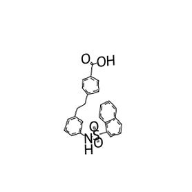 O=C(O)c1ccc(CCc2cccc(NS(=O)(=O)c3cccc4ccccc34)c2)cc1